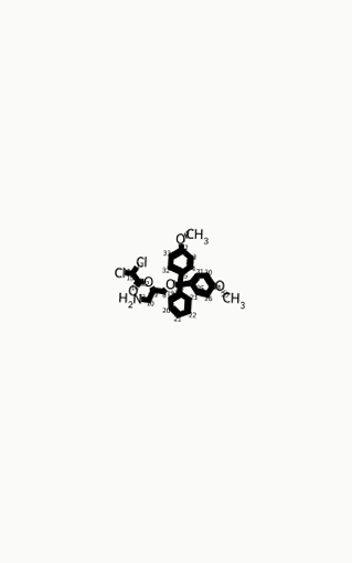 COc1ccc(C(OCC(CN)OC(=O)C(Cl)Cl)(c2ccccc2)c2ccc(OC)cc2)cc1